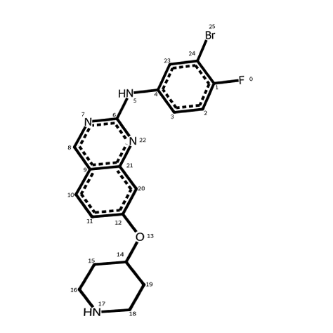 Fc1ccc(Nc2ncc3ccc(OC4CCNCC4)cc3n2)cc1Br